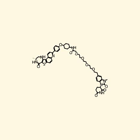 C[C@@H]1CNc2c(sc3ccc4nc(-c5ccc(OC6CCC(NC(=O)COCCOCCOCCOCCc7ccc8c(c7)n(C)c(=O)n8C7CCC(=O)NC7=O)CC6)cc5)ccc4c23)C(=O)N1